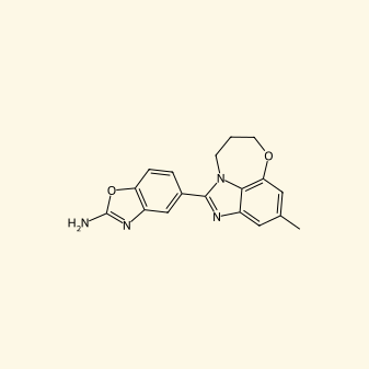 Cc1cc2c3c(c1)nc(-c1ccc4oc(N)nc4c1)n3CCCO2